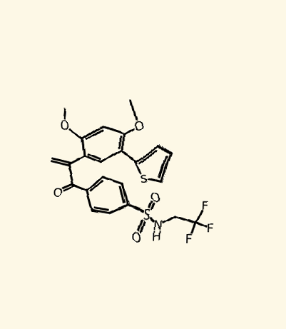 C=C(C(=O)c1ccc(S(=O)(=O)NCC(F)(F)F)cc1)c1cc(-c2cccs2)c(OC)cc1OC